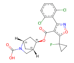 O=C(O[C@@H]1C[C@@H]2C[C@H]1CN2C(=O)O)c1c(-c2c(Cl)cccc2Cl)noc1C1(F)CC1